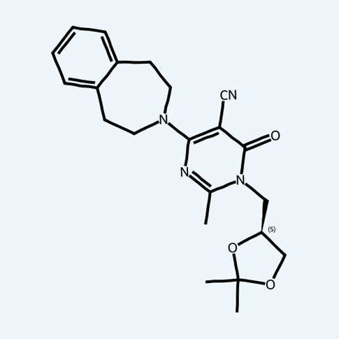 Cc1nc(N2CCc3ccccc3CC2)c(C#N)c(=O)n1C[C@H]1COC(C)(C)O1